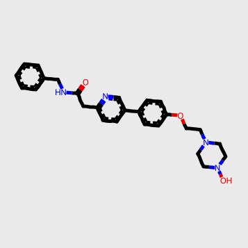 O=C(Cc1ccc(-c2ccc(OCCN3CCN(O)CC3)cc2)cn1)NCc1ccccc1